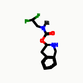 CCN(CC(F)F)C(=O)OC1Cc2ccccc2CN1